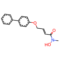 CN(O)C(=O)C=CCOc1ccc(-c2ccccc2)cc1